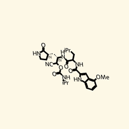 COc1cccc2[nH]c(C(=O)NC(CC(C)C)C(=O)N[C@@H](C[C@@H]3CCNC3=O)C(C#N)OC(=O)NC(C)C)cc12